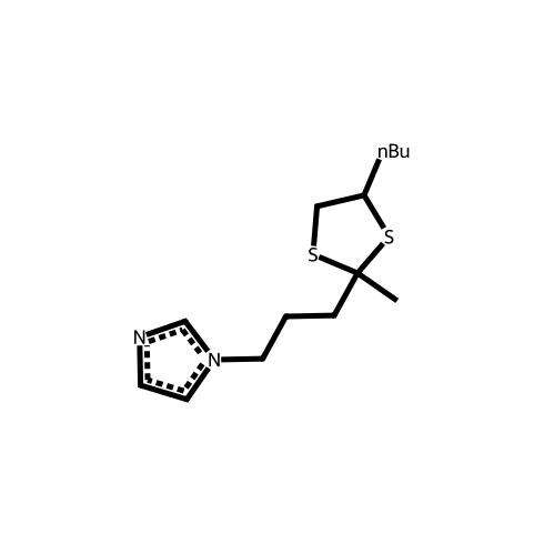 CCCCC1CSC(C)(CCCn2ccnc2)S1